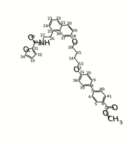 COC(=O)c1ccc(-c2ccc(OCCCCOc3ccc4cccc(CCNC(=O)c5ccco5)c4c3)cc2)cc1